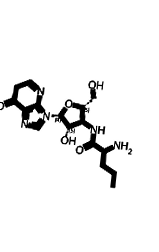 CCCC(N)C(=O)NC1[C@@H](CO)O[C@@H](n2cnc3c2N=CCC3=O)[C@H]1O